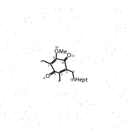 [CH2]CCCCCCCC1=C(C)C(=O)C(C)=C(OC)C1=O